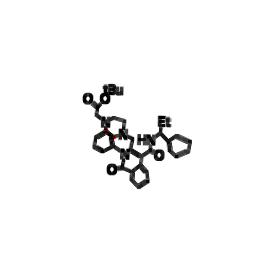 CCC(NC(=O)c1c(CN2CCN(CC(=O)OC(C)(C)C)CC2)n(-c2ccccc2)c(=O)c2ccccc12)c1ccccc1